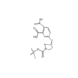 CC(C)(C)OC(=O)N1CC[C@H](Oc2ccc(C(=O)O)c(C(=O)O)c2)C1